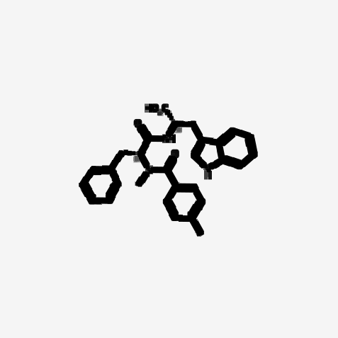 Cc1ccc(C(=O)N(C)[C@H](Cc2ccccc2)C(=O)N[C@@H](Cc2c[nH]c3ccccc23)C(=O)O)cc1